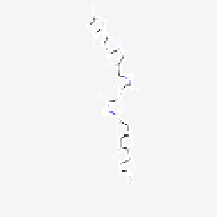 Fc1cc2sc3c4sc(-c5nc(F)c(-c6sc(-c7cc8sc9c%10sc(F)cc%10sc9c8s7)nc6F)s5)cc4sc3c2s1